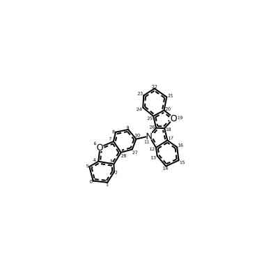 c1ccc2c(c1)oc1ccc(-n3c4ccccc4c4oc5ccccc5c43)cc12